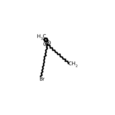 C=CCCCCCCCCCCCCCCCC(C=CCCCCCCCCCCCCCCCCCBr)S(=O)(=O)c1ccc(C)cc1